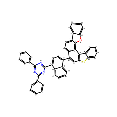 c1ccc(-c2nc(-c3ccccc3)nc(-c3ccc(-c4cc5sc6ccccc6c5c5c4ccc4c6ccccc6oc45)c4ccccc34)n2)cc1